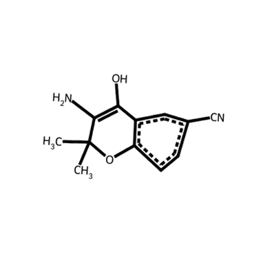 CC1(C)Oc2ccc(C#N)cc2C(O)=C1N